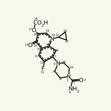 NC(=O)N1CCN(c2cc3c(cc2F)c(=O)c(OC(=O)O)cn3C2CC2)CC1